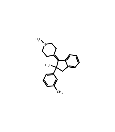 Cc1cccc(C2(C)Cc3ccccc3C2=C2CCN(C)CC2)c1